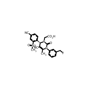 CC1=C(C#N)[C@@H](c2ccc(C#N)cc2S(C)(=O)=O)N(CC(=O)O)C(=O)N1c1cccc(CF)c1